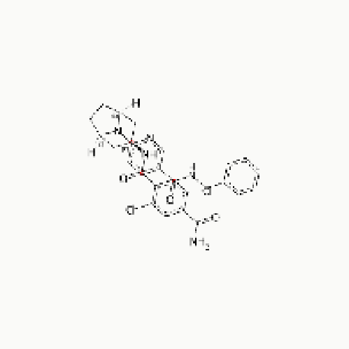 NC(=O)c1cc(Cl)c(C(=O)N[C@H]2C[C@H]3CC[C@@H](C2)N3c2ccc(C(=O)NCc3ccccc3)cn2)cc1Cl